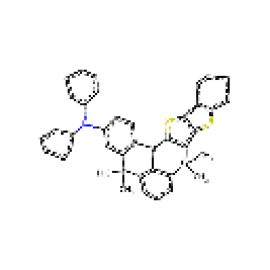 CC1(C)c2cc(N(c3ccccc3)c3ccccc3)ccc2B2c3sc4c(sc5ccccc54)c3[Si](C)(C)c3cccc1c32